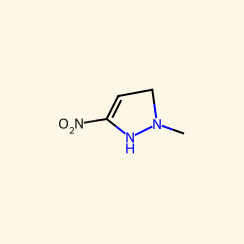 CN1CC=C([N+](=O)[O-])N1